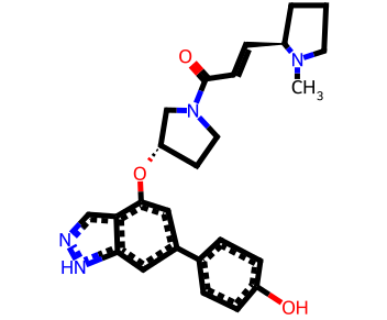 CN1CCC[C@@H]1/C=C/C(=O)N1CC[C@H](Oc2cc(-c3ccc(O)cc3)cc3[nH]ncc23)C1